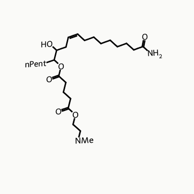 CCCCCC(OC(=O)CCCC(=O)OCCNC)C(O)C/C=C\CCCCCCCC(N)=O